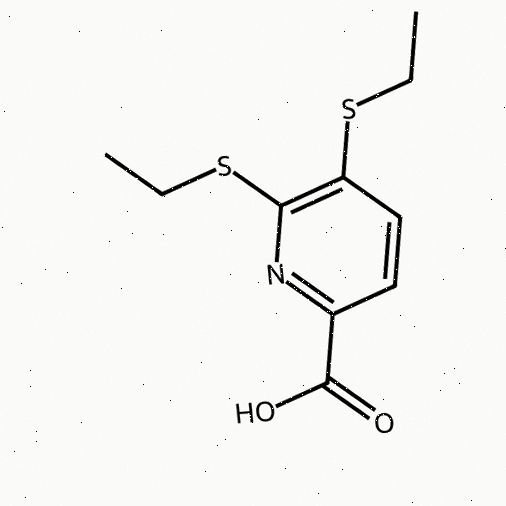 CCSc1ccc(C(=O)O)nc1SCC